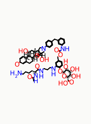 CC(=O)N[C@@H](CCCCN)C(=O)NCCCNc1cc(COC(=O)Nc2cccc(Cc3ccc(N4C[C@@H]5C[C@H]6[C@@H]7CCC8=CC(=O)C=C[C@]8(C)[C@H]7[C@@H](O)C[C@]6(C)[C@]5(C(=O)CO)C4)cc3)c2)ccc1O[C@@H]1O[C@H](C(=O)O)[C@@H](O)[C@H](O)[C@H]1O